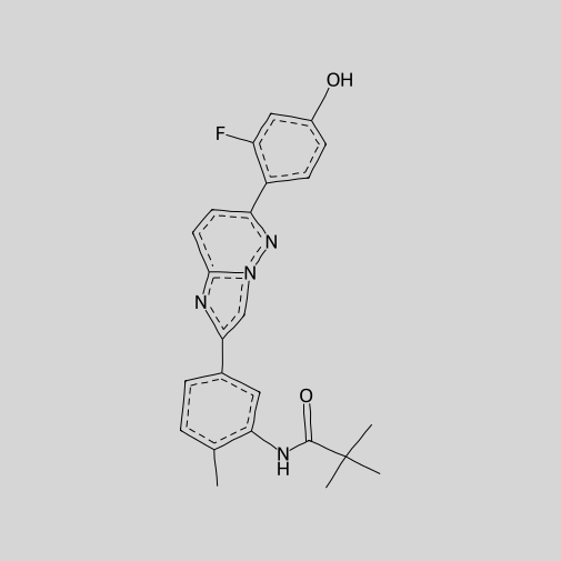 Cc1ccc(-c2cn3nc(-c4ccc(O)cc4F)ccc3n2)cc1NC(=O)C(C)(C)C